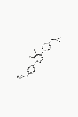 CCc1ccc(-c2ccc(-c3ccc(CC4CC4)cc3)c(F)c2F)cc1